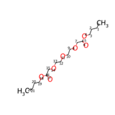 CCCCOC(=O)COCCOCCOCC(=O)OCCCC